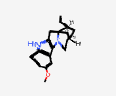 CC[C@H]1C[C@H]2CC3c4[nH]c5ccc(OC)cc5c4N(C2)C31